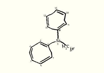 C[Si](c1ccccc1)c1ccccc1.F